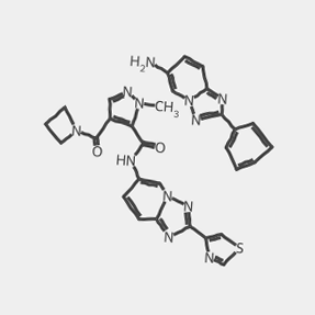 Cn1ncc(C(=O)N2CCC2)c1C(=O)Nc1ccc2nc(-c3cscn3)nn2c1.Nc1ccc2nc(-c3ccccc3)nn2c1